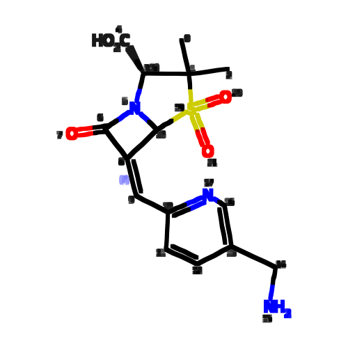 CC1(C)[C@H](C(=O)O)N2C(=O)/C(=C/c3ccc(CN)cn3)C2S1(=O)=O